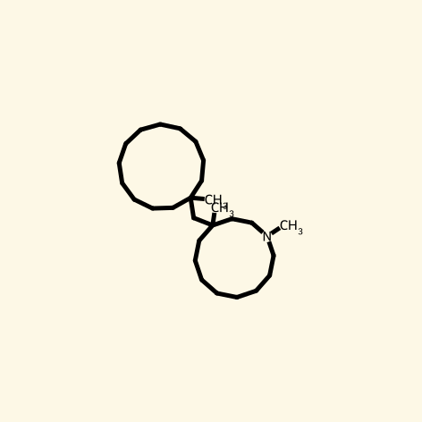 CN1CCCCCCCCC(C)(CC2(C)CCCCCCCCCCCC2)CC1